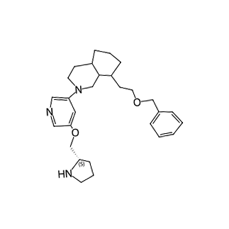 c1ccc(COCCC2CCCC3CCN(c4cncc(OC[C@@H]5CCCN5)c4)CC23)cc1